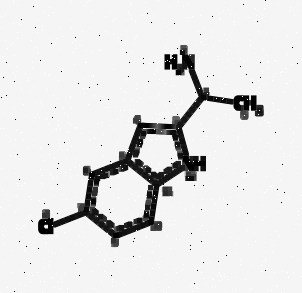 CC(N)c1cc2cc(Cl)ccc2[nH]1